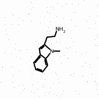 Cn1c(CCN)cc2ccccc21